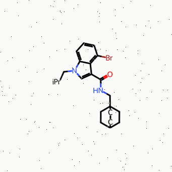 CC(C)Cn1cc(C(=O)NCC23CCC(CC2)CC3)c2c(Br)cccc21